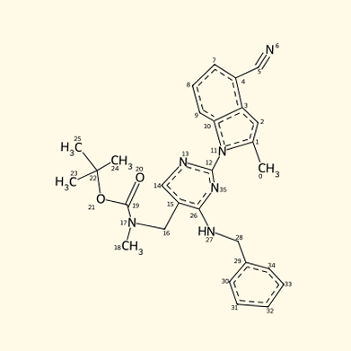 Cc1cc2c(C#N)cccc2n1-c1ncc(CN(C)C(=O)OC(C)(C)C)c(NCc2ccccc2)n1